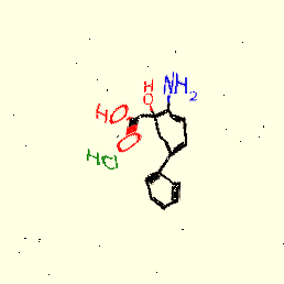 Cl.NC1=CC=C(c2ccccc2)CC1(O)C(=O)O